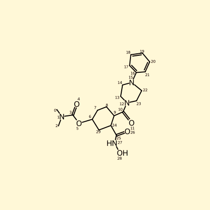 CN(C)C(=O)OC1CCC(C(=O)N2CCN(c3ccccc3)CC2)C(C(=O)NO)C1